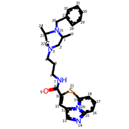 CC1CN(CCCNC(=O)C2=Cc3cnc4cccc(n34)S2)CC(C)N1Cc1ccccc1